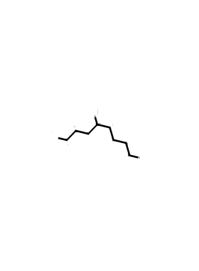 [CH2]CCCCC([CH2])CCCC